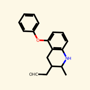 CC1Nc2cccc(Oc3ccccc3)c2CC1CC=O